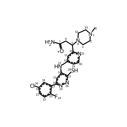 CN1CCN(C(CC(N)=O)c2cc(Nc3cc(-c4cc(Cl)ccc4F)nnc3S)ccn2)CC1